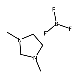 CN1CCN(C)C1.FB(F)F